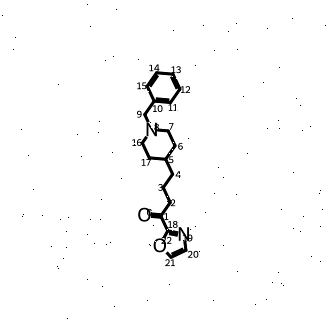 O=C(CCCC1CCN(Cc2ccccc2)CC1)c1ncco1